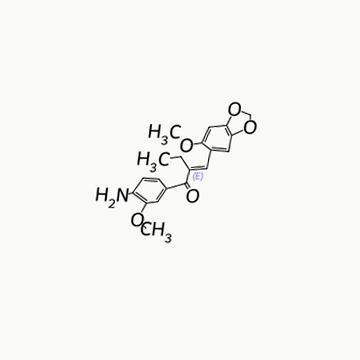 CC/C(=C\c1cc2c(cc1OC)OCO2)C(=O)c1ccc(N)c(OC)c1